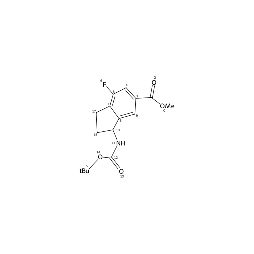 COC(=O)c1cc(F)c2c(c1)C(NC(=O)OC(C)(C)C)CC2